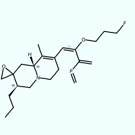 C=PC(=C)/C(=C\C1=C(C)[C@H]2CC3(CO3)[C@H](CCC)CN2CC1)OCCCF